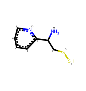 NC(CSS)c1ccccn1